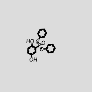 O=P(Oc1ccccc1)(Oc1ccccc1)c1cc(O)ccc1O